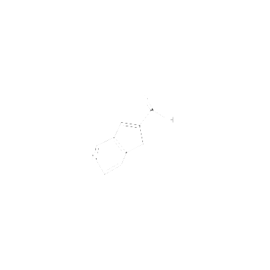 O=C(O)C1=Cc2cnccc2C1